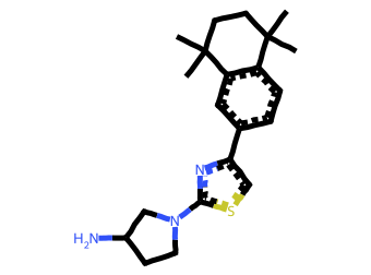 CC1(C)CCC(C)(C)c2cc(-c3csc(N4CCC(N)C4)n3)ccc21